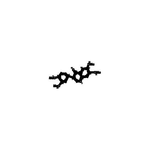 COc1ccc(-c2coc3cc(OC)c(OC)cc3c2=O)cc1OC